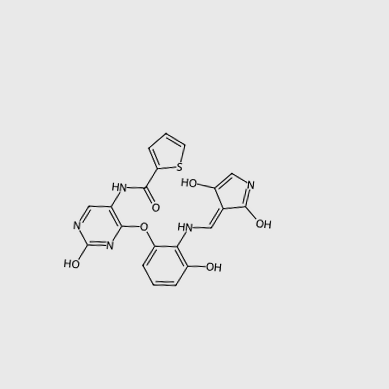 O=C(Nc1cnc(O)nc1Oc1cccc(O)c1N/C=C1\C(O)=CN=C1O)c1cccs1